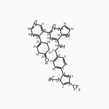 CC(C)n1cc(C(F)(F)F)nc1-c1ccc(CNc2nc(-c3cncnc3C3=CCC(=O)CC3)nn3ccnc23)cc1